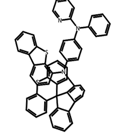 c1ccc(N(c2ccc(N(c3cccc4c3C3(c5ccccc5Sc5ccccc53)c3ccccc3-4)c3cccc4c3sc3ccccc34)cc2)c2ccccn2)cc1